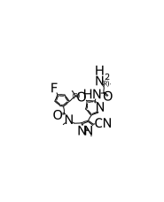 C[C@@H](N)C(=O)Nc1ncc2cc1O[C@H](C)c1cc(F)ccc1C(=O)N(C)Cc1nn(C)c(C#N)c1-2